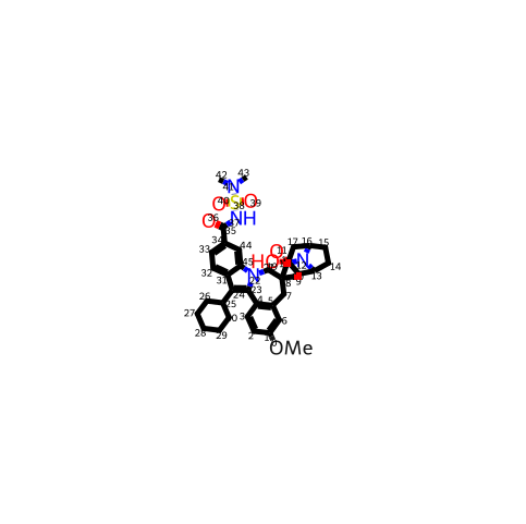 COc1ccc2c(c1)CC(C)(C(=O)N1C3CCC1CC(O)C3)Cn1c-2c(C2CCCCC2)c2ccc(C(=O)NS(=O)(=O)N(C)C)cc21